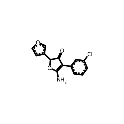 NC1=C(c2cccc(Cl)c2)C(=O)C(c2ccoc2)O1